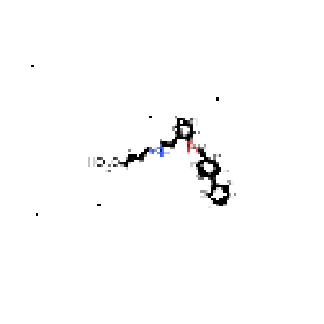 O=C(O)CCCCNCCc1ccccc1OCc1ccc(-c2ccccc2)cc1